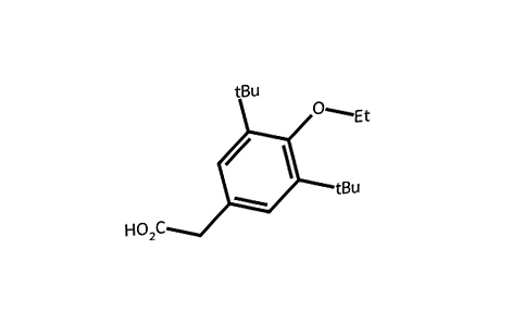 CCOc1c(C(C)(C)C)cc(CC(=O)O)cc1C(C)(C)C